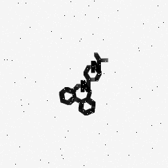 CC(C)N1CCC(N2Cc3ccccc3-c3ccccc3C2)CC1